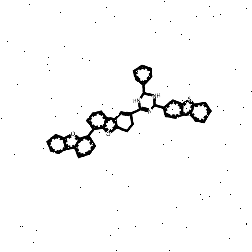 C1=C(C2=NC(c3ccc4c(c3)sc3ccccc34)NC(c3ccccc3)N2)CCc2oc3c(-c4cccc5c4oc4ccccc45)cccc3c21